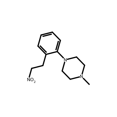 CN1CCN(c2ccccc2CC[N+](=O)[O-])CC1